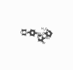 Cn1cccc(Nc2nc(Nc3ccc(N4CCOCC4)cc3)ncc2Br)c1=O